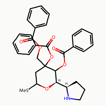 CSC1CC(COC(=O)c2ccccc2)(OC(=O)c2ccccc2)C(OC(=O)c2ccccc2)[C@@H]([C@H]2CCCN2)O1